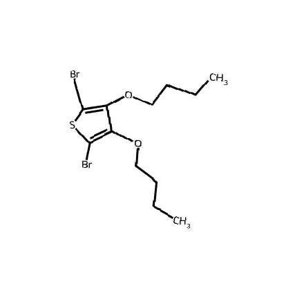 CCCCOc1c(Br)sc(Br)c1OCCCC